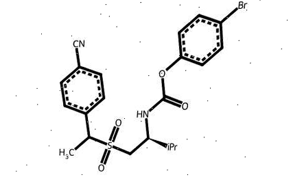 CC(C)[C@@H](CS(=O)(=O)C(C)c1ccc(C#N)cc1)NC(=O)Oc1ccc(Br)cc1